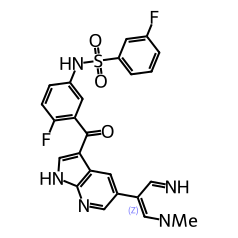 CN/C=C(\C=N)c1cnc2[nH]cc(C(=O)c3cc(NS(=O)(=O)c4cccc(F)c4)ccc3F)c2c1